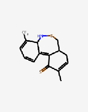 CC1=CCC2CSNC3C(C(F)(F)F)=CC=CC3=C2C1=S